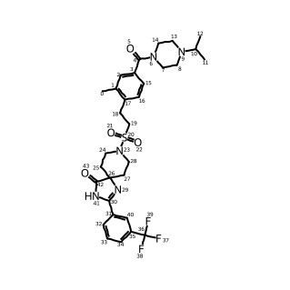 Cc1cc(C(=O)N2CCN(C(C)C)CC2)ccc1CCS(=O)(=O)N1CCC2(CC1)N=C(c1cccc(C(F)(F)F)c1)NC2=O